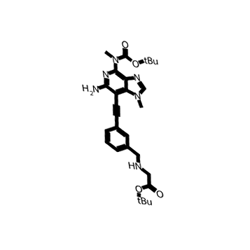 CN(C(=O)OC(C)(C)C)c1nc(N)c(C#Cc2cccc(CNCC(=O)OC(C)(C)C)c2)c2c1ncn2C